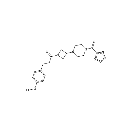 CCOc1ccc(CCC(=O)N2CC(N3CCN(C(=O)c4nccs4)CC3)C2)cc1